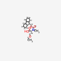 CCOCC[C@@H](C(=O)O)N(C)C(=O)OCC1c2ccccc2-c2ccccc21